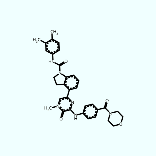 Cc1ccc(NC(=O)N2CCc3c(-c4cn(C)c(=O)c(Nc5ccc(C(=O)N6CCOCC6)cc5)n4)cccc32)cc1C